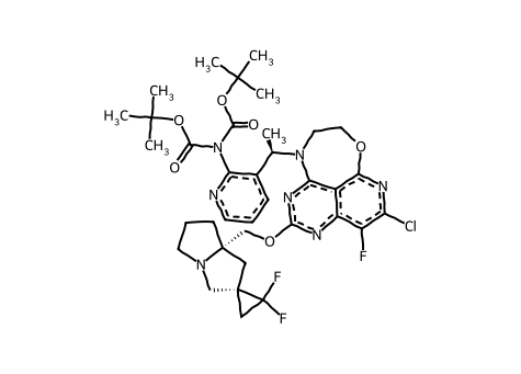 C[C@H](c1cccnc1N(C(=O)OC(C)(C)C)C(=O)OC(C)(C)C)N1CCOc2nc(Cl)c(F)c3nc(OC[C@@]45CCCN4C[C@]4(CC4(F)F)C5)nc1c23